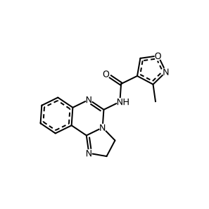 Cc1nocc1C(=O)NC1=Nc2ccccc2C2=NCCN12